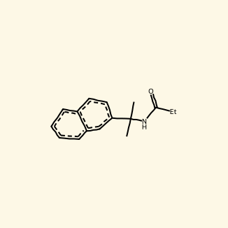 CCC(=O)NC(C)(C)c1ccc2ccccc2c1